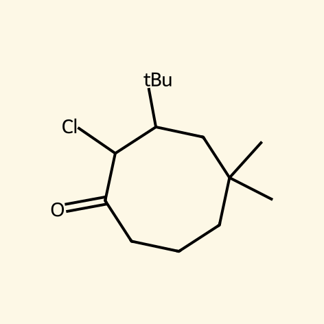 CC1(C)CCCC(=O)C(Cl)C(C(C)(C)C)C1